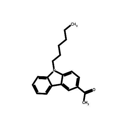 CCCCCCn1c2ccccc2c2cc(C(C)=O)ccc21